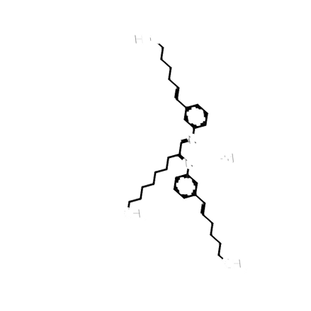 CCCCCC=Cc1cccc(N=CC(CCCCCCCC)=Nc2cccc(C=CCCCCC)c2)c1.[Pd]